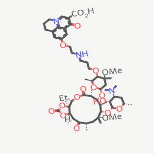 CC[C@@H]1OC(=O)[C@H](C)[C@H](O[C@@H]2C[C@](C)(OC)[C@H](OCCCNCCOc3cc4c5c(c3)c(=O)c(C(=O)O)cn5CCC4)[C@H](C)O2)[C@@H](C)[C@H](O[C@H]2O[C@@H](C)C[C@@H](N(C)C)[C@H]2O)[C@](C)(OC)C[C@H](C)C(=O)[C@H](C)[C@H]2OC(=O)O[C@@]12C